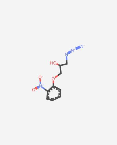 [N-]=[N+]=NCC(O)COc1ccccc1[N+](=O)[O-]